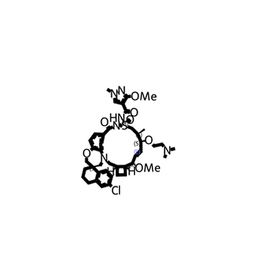 COc1nn(C)cc1C(=O)N[S@@]1(=O)=NC(=O)c2ccc3c(c2)N(C[C@@H]2CC[C@H]2[C@@H](OC)/C=C/[C@H](OCCN(C)C)[C@H](C)C1)C[C@@]1(CCCc2cc(Cl)ccc21)CO3